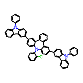 Clc1ccccc1N1c2ccc(-c3ccc4c(c3)c3ccccc3n4-c3ccccc3)cc2-c2ccccc2-c2cc(-c3ccc4c(c3)c3ccccc3n4-c3ccccc3)ccc21